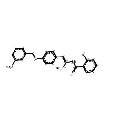 COc1cccc(COc2ccc(/C=C(/NC(=O)c3ccccc3Br)C(=O)O)cc2)c1